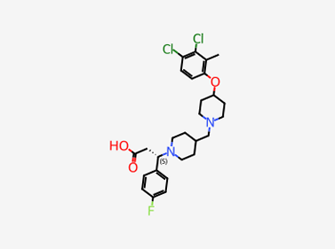 Cc1c(OC2CCN(CC3CCN([C@@H](CC(=O)O)c4ccc(F)cc4)CC3)CC2)ccc(Cl)c1Cl